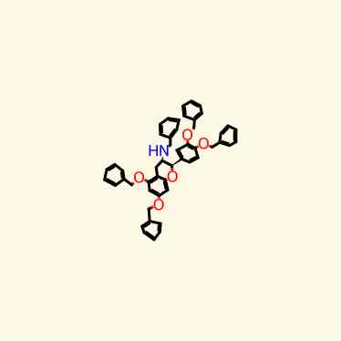 c1ccc(CN[C@H]2Cc3c(OCc4ccccc4)cc(OCc4ccccc4)cc3O[C@@H]2c2ccc(OCc3ccccc3)c(OCc3ccccc3)c2)cc1